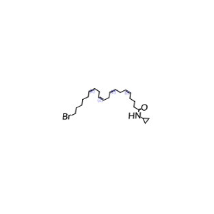 O=C(CCC/C=C\C/C=C\C/C=C\C/C=C\CCCCCBr)NC1CC1